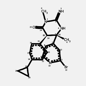 CN1C(=N)N[C@](C)(c2ccnc(Br)c2)[C@@H](c2ccc(C3CC3)cc2)C1=O